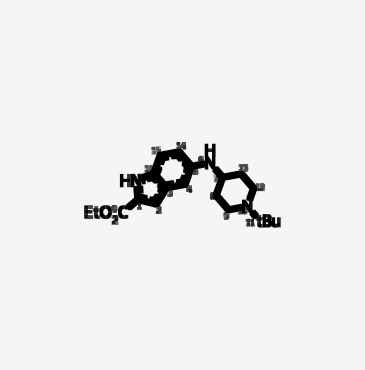 CCOC(=O)c1cc2cc(NC3CCN(C(C)(C)C)CC3)ccc2[nH]1